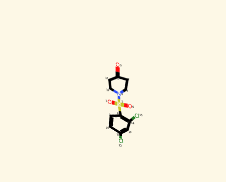 O=C1CCN(S(=O)(=O)c2ccc(Cl)cc2Cl)CC1